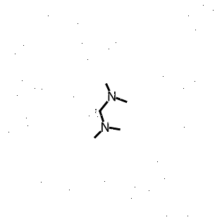 CN(C)[C]N(C)C